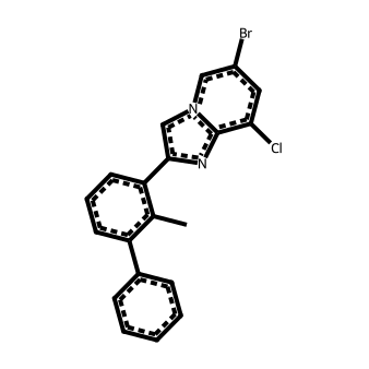 Cc1c(-c2ccccc2)cccc1-c1cn2cc(Br)cc(Cl)c2n1